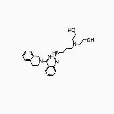 OCCN(CCO)CCCNc1nc(N2CCc3ccccc3C2)c2ccccc2n1